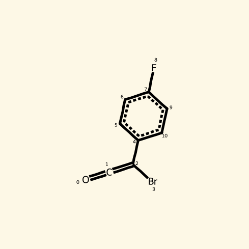 O=C=C(Br)c1ccc(F)cc1